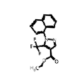 CCOC(=O)c1cnn(-c2cccc3ccccc23)c1C(F)(F)F